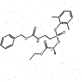 CCOC(=O)[C@H](C)OP(=O)(CCNC(=O)OCc1ccccc1)Oc1c(C)cccc1C